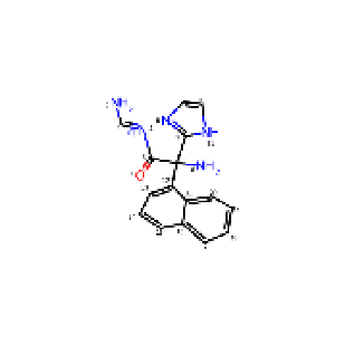 N/C=N/C(=O)C(N)(c1ncc[nH]1)c1cccc2ccccc12